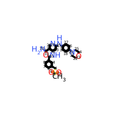 CS(=O)(=O)Cc1cccc(CNc2cc(Nc3ccc(N4CCOCC4)cc3)ncc2C(N)=O)c1